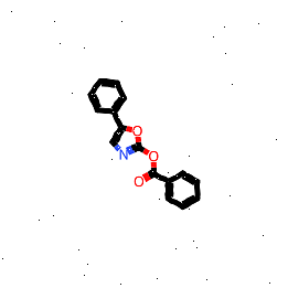 O=C(Oc1ncc(-c2ccccc2)o1)c1ccccc1